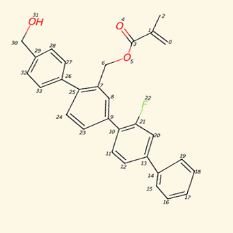 C=C(C)C(=O)OCc1cc(-c2ccc(-c3ccccc3)cc2F)ccc1-c1ccc(CO)cc1